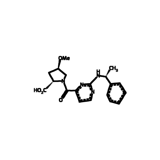 CO[C@@H]1C[C@@H](C(=O)O)N(C(=O)c2ccnc(N[C@H](C)c3ccccc3)n2)C1